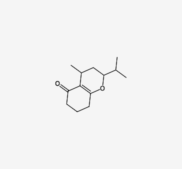 CC1CC(C(C)C)OC2=C1C(=O)CCC2